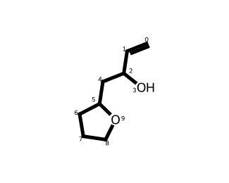 C=CC(O)[CH]C1CCCO1